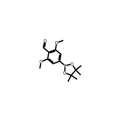 COc1cc(B2OC(C)(C)C(C)(C)O2)cc(OC)c1C=O